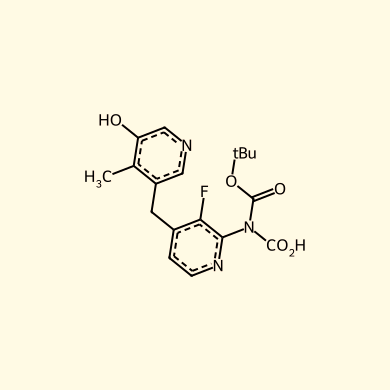 Cc1c(O)cncc1Cc1ccnc(N(C(=O)O)C(=O)OC(C)(C)C)c1F